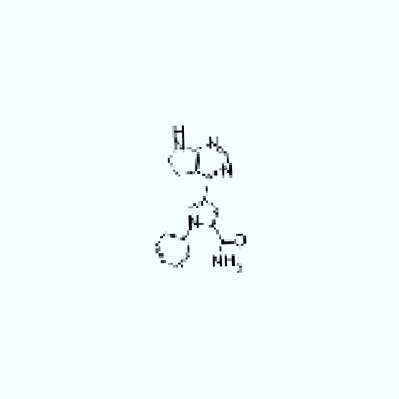 NC(=O)c1cc(-c2ncnc3c2CCN3)cn1-c1ccccc1